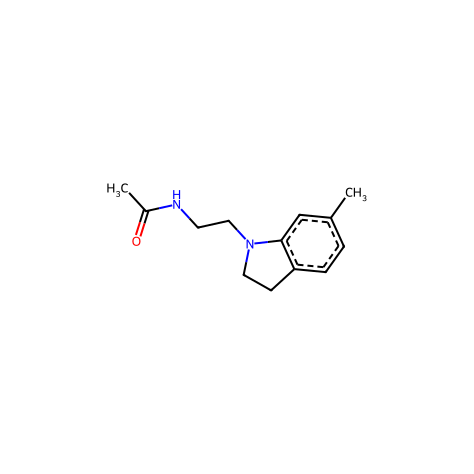 CC(=O)NCCN1CCc2ccc(C)cc21